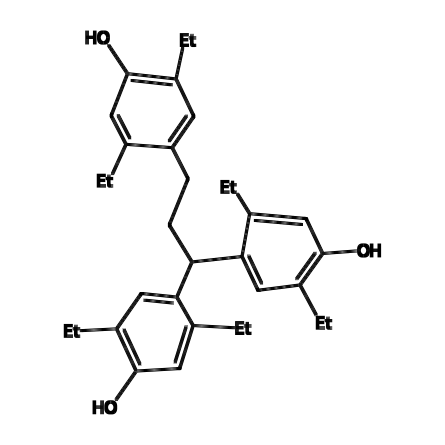 CCc1cc(CCC(c2cc(CC)c(O)cc2CC)c2cc(CC)c(O)cc2CC)c(CC)cc1O